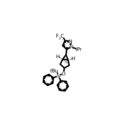 CC(C)n1nc(C(F)(F)F)cc1C1[C@H]2CC(O[Si](c3ccccc3)(c3ccccc3)C(C)(C)C)C[C@@H]12